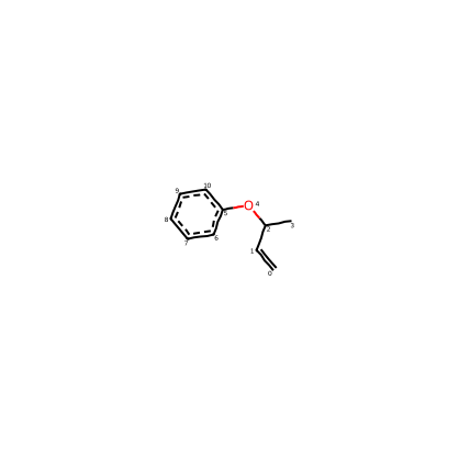 C=CC(C)Oc1ccccc1